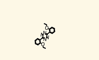 CCOc1ccccc1-c1nnc(-c2ccccc2OCC)nn1